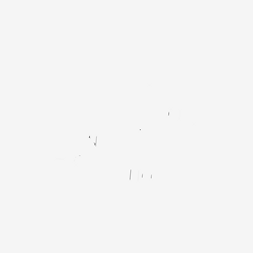 CN1CC=C(F)C(C)(CO)C1